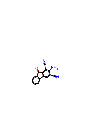 N#Cc1cc2c(c(C#N)c1N)C(=O)c1ccccc1-2